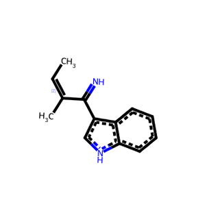 C/C=C(/C)C(=N)c1c[nH]c2ccccc12